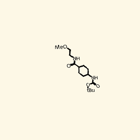 COCCNC(=O)C1CCC(NC(=O)OC(C)(C)C)CC1